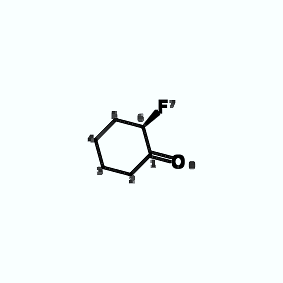 O=C1CCCC[C@H]1F